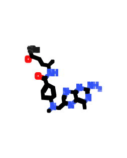 Cc1nc(N)nc2ncc(CN(C)c3ccc(C(=O)N[C@H](C)CCC(=O)C(C)(C)C)cc3)nc12